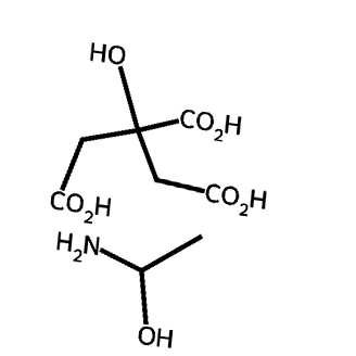 CC(N)O.O=C(O)CC(O)(CC(=O)O)C(=O)O